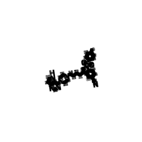 Cc1ccc(S(=O)(=O)n2cc(CCCCN3CCN(c4ncnc5cc[nH]c45)CC3)c3cc(C#N)ccc32)cc1